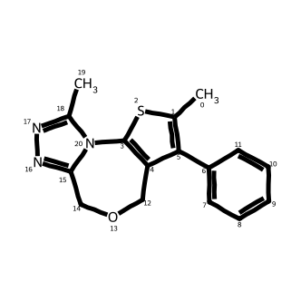 Cc1sc2c(c1-c1ccccc1)COCc1nnc(C)n1-2